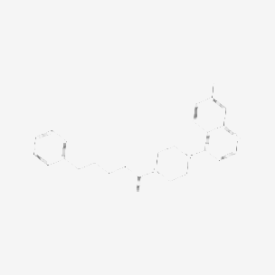 O=C(CCCCc1ccccc1)N1CCN(c2ccnc3cc(Cl)ccc23)CC1